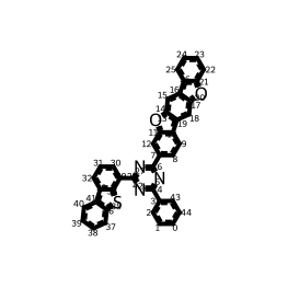 c1ccc(-c2nc(-c3ccc4c(c3)oc3cc5c(cc34)oc3ccccc35)nc(-c3cccc4c3sc3ccccc34)n2)cc1